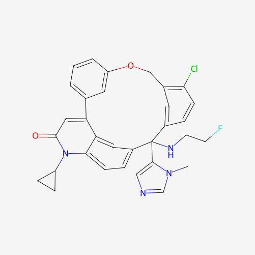 Cn1cncc1C1(NCCF)c2ccc(Cl)c(c2)COc2cccc(c2)-c2cc(=O)n(C3CC3)c3ccc1cc23